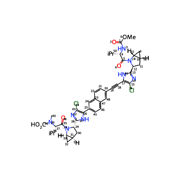 COC(=O)N[C@H](C(=O)N1[C@@H]2C[C@@H]2C[C@H]1c1nc(Cl)c(C#Cc2ccc3cc(-c4[nH]c([C@@H]5C[C@H]6C[C@H]6N5C(=O)[C@H](C(C)C)N(C)C(=O)O)nc4Cl)ccc3c2)[nH]1)C(C)C